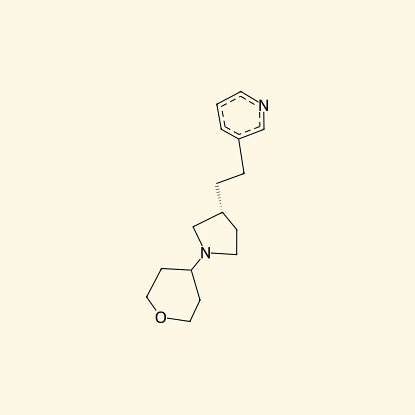 c1cncc(CC[C@@H]2CCN(C3CCOCC3)C2)c1